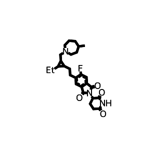 CCC1C(CCc2cc3c(cc2F)C(=O)N(C2CCC(=O)NC2=O)C3=O)C1CN1CCCC(C)CC1